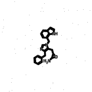 NC1OC1Cc1c(Cc2ccccc2)ncn1Cc1cccc2cc[nH]c12